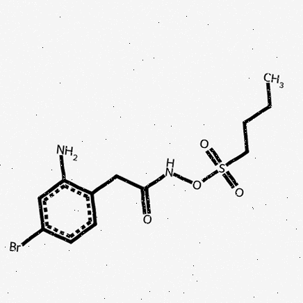 CCCCS(=O)(=O)ONC(=O)Cc1ccc(Br)cc1N